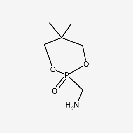 CC1(C)COP(=O)(CN)OC1